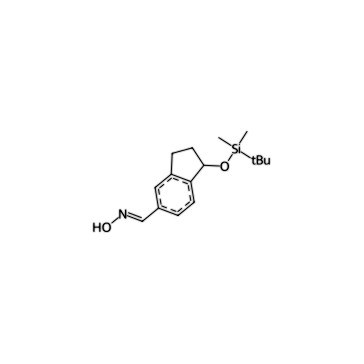 CC(C)(C)[Si](C)(C)OC1CCc2cc(C=NO)ccc21